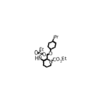 CCOC(=O)N1CCCC(NS(=O)(=O)CC)C1COC1CCC(C(C)C)CC1